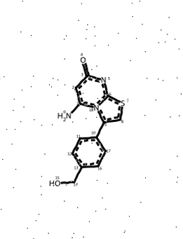 Nc1cc(=O)nc2scc(-c3ccc(CO)cc3)n12